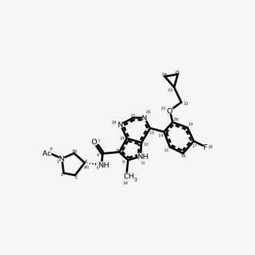 CC(=O)N1CC[C@@H](NC(=O)c2c(C)[nH]c3c(-c4ccc(F)cc4OCC4CC4)ncnc23)C1